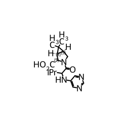 CC(C)C(Nc1cncnc1)C(=O)N1C[C@H]2[C@@H]([C@H]1C(=O)O)C2(C)C